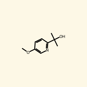 COc1ccc(C(C)(C)O)nc1